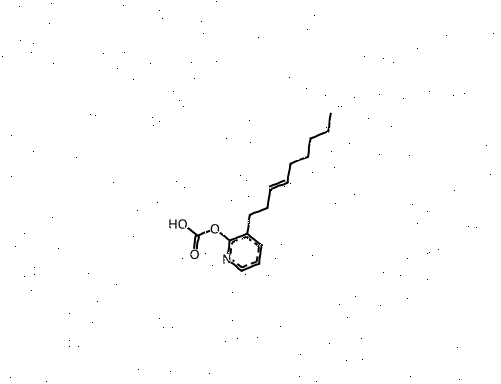 CCCCCC=CCCc1cccnc1OC(=O)O